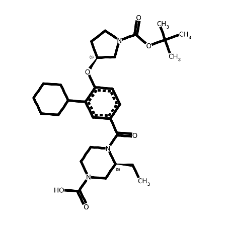 CC[C@H]1CN(C(=O)O)CCN1C(=O)c1ccc(O[C@H]2CCN(C(=O)OC(C)(C)C)C2)c(C2CCCCC2)c1